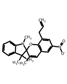 C=CCc1cc([N+](=O)[O-])cc2c1OC1(C(C)=C2)N(C)c2ccccc2C1(C)C